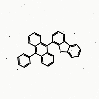 c1ccc(-c2c3ccccc3c(-c3cccc4c3sc3ccccc34)c3cccnc23)cc1